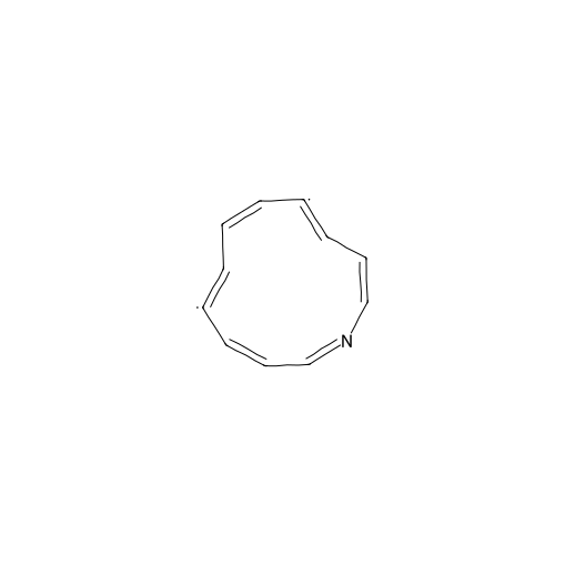 [C]1=C/C=C\[C]=C\C=C/N=C\C=C/1